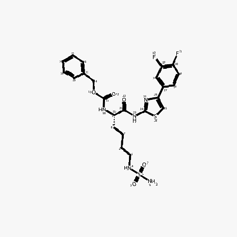 NS(=O)(=O)NCCCC[C@H](NC(=O)OCc1ccccc1)C(=O)Nc1nc(-c2ccc(F)c(F)c2)cs1